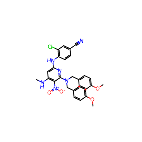 CNc1cc(Nc2ccc(C#N)cc2Cl)nc(N(Cc2ccc(OC)cc2)Cc2ccc(OC)cc2)c1[N+](=O)[O-]